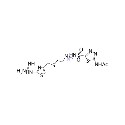 CC(=O)Nc1nnc(S(=O)(=O)N/C=N/CCSCc2csc(NC(=N)N)n2)s1